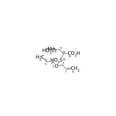 C=CCOCC=C.N.O=C(O)CC(C(=O)O)S(=O)(=O)O